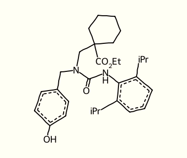 CCOC(=O)C1(CN(Cc2ccc(O)cc2)C(=O)Nc2c(C(C)C)cccc2C(C)C)CCCCC1